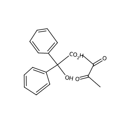 CC(=O)C(C)=O.O=C(O)C(O)(c1ccccc1)c1ccccc1